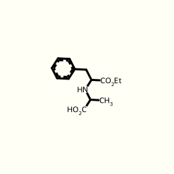 CCOC(=O)C(Cc1ccccc1)NC(C)C(=O)O